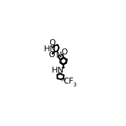 O=C1CCC(N2Cc3cc(CN[C@H]4CCC[C@H](C(F)(F)F)C4)ccc3C2=O)C(=O)N1